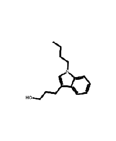 CCCCn1cc(CCCO)c2ccccc21